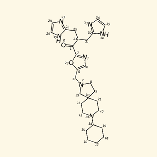 O=C(c1ncc(CN2CCC3(CCN(C4CCCCC4)CC3)C2)o1)C(Cc1ncc[nH]1)Cc1ncc[nH]1